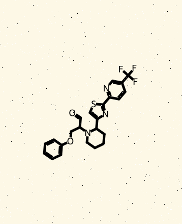 O=CC(COc1ccccc1)N1CCCCC1c1csc(-c2ccc(C(F)(F)F)cn2)n1